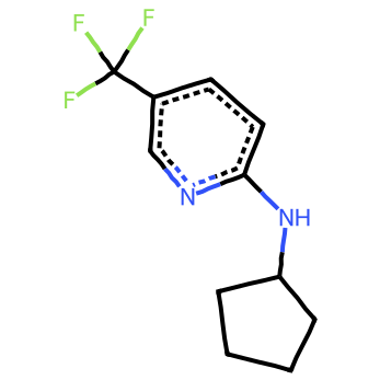 FC(F)(F)c1ccc(NC2CCCC2)nc1